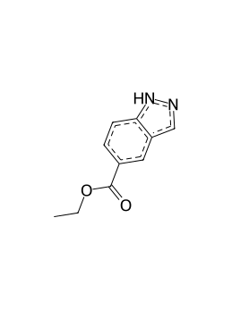 CCOC(=O)c1ccc2[nH]ncc2c1